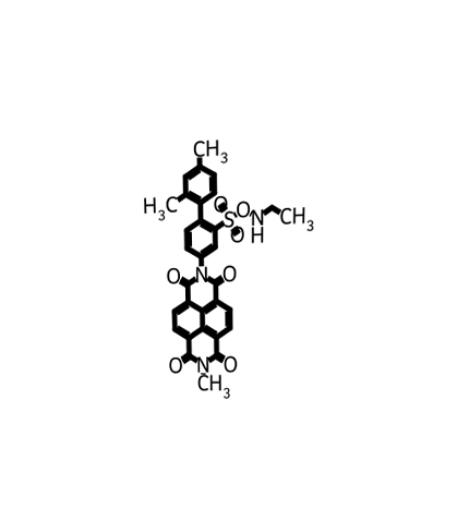 CCNOS(=O)(=O)c1cc(N2C(=O)c3ccc4c5c(ccc(c35)C2=O)C(=O)N(C)C4=O)ccc1-c1ccc(C)cc1C